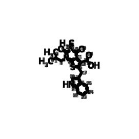 CC(C)Cn1c(=O)n(C)c(=O)c2c(C(=O)O)c(Cc3c[nH]c4ccccc34)sc21